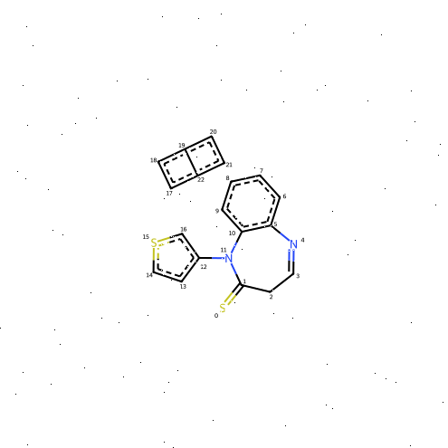 S=C1CC=Nc2ccccc2N1c1ccsc1.c1cc2ccc1-2